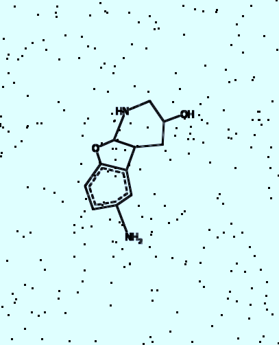 Nc1ccc2c(c1)C1CC(O)CNC1O2